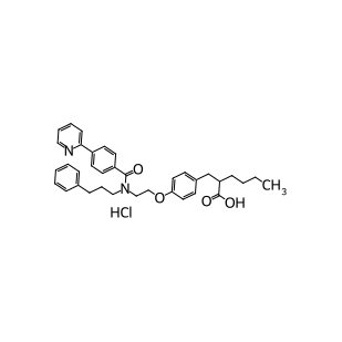 CCCCC(Cc1ccc(OCCN(CCCc2ccccc2)C(=O)c2ccc(-c3ccccn3)cc2)cc1)C(=O)O.Cl